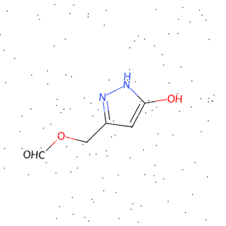 O=COCc1cc(O)[nH]n1